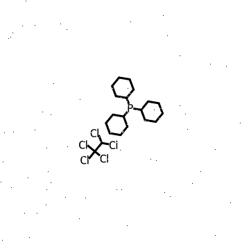 C1CCC(P(C2CCCCC2)C2CCCCC2)CC1.ClC(Cl)C(Cl)(Cl)Cl